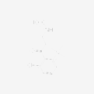 C[Si](C)(C)c1cccc(Cl)c1C(=O)CCNC(=O)O